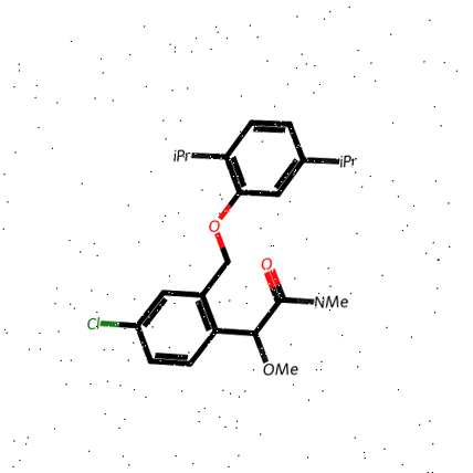 CNC(=O)C(OC)c1ccc(Cl)cc1COc1cc(C(C)C)ccc1C(C)C